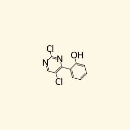 Oc1ccccc1-c1nc(Cl)ncc1Cl